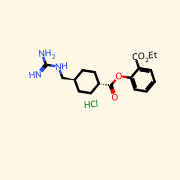 CCOC(=O)c1ccccc1OC(=O)[C@H]1CC[C@H](CNC(=N)N)CC1.Cl